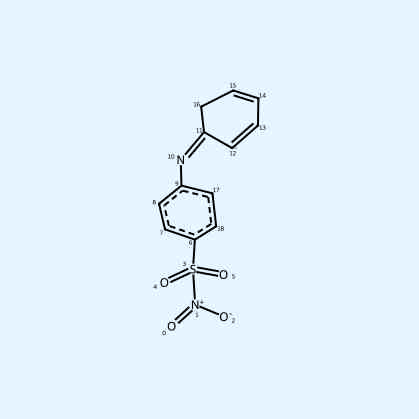 O=[N+]([O-])S(=O)(=O)c1ccc(N=C2[C]=CC=CC2)cc1